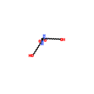 O=C(/C=C/CCCCCCCCCCCO)N[C@@H]1C[C@H]1NC(=O)/C=C/CCCCCCCCCCCO